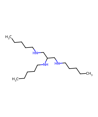 CCCCCNCC(CNCCCCC)NCCCCC